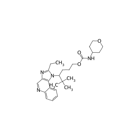 CCc1nc2cnc3ccccc3c2n1C(CCCOC(=O)NC1CCOCC1)C(C)(C)C